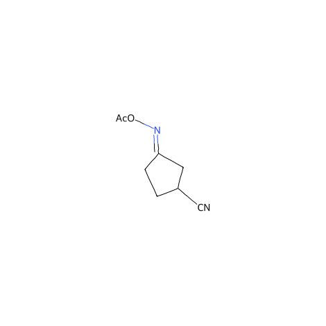 CC(=O)O/N=C1\CCC(C#N)C1